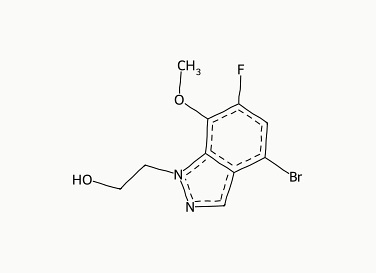 COc1c(F)cc(Br)c2cnn(CCO)c12